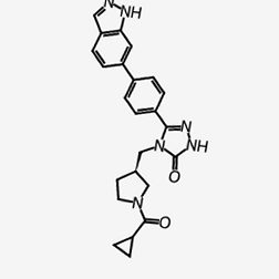 O=C(C1CC1)N1CC[C@@H](Cn2c(-c3ccc(-c4ccc5cn[nH]c5c4)cc3)n[nH]c2=O)C1